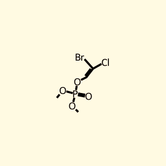 COP(=O)(OC)OC=C(Cl)Br